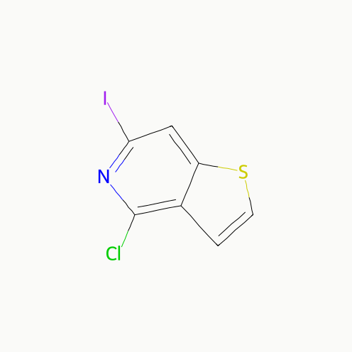 Clc1nc(I)cc2sccc12